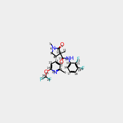 Cc1cc([C@@H]2CN(C)C(=O)[C@]2(C)C(=O)Nc2cccc(F)c2F)cc(OC(F)F)n1